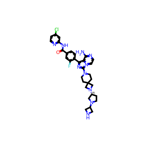 Nc1nccn2c(N3CCC4(CC3)CN([C@@H]3CCN(C5CNC5)C3)C4)nc(-c3ccc(C(=O)Nc4cc(Cl)ccn4)cc3F)c12